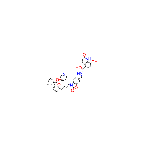 O=C(OC1CN2CCC1CC2)C1(c2cccc(CCCCn3c(=O)oc4cc(CNC[C@H](O)c5ccc(O)c6[nH]c(=O)ccc56)ccc43)c2)CCCCC1